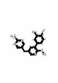 CCOc1ncc(Cc2cnc(N)nc2)cc1-c1ccc(F)c(Cl)c1